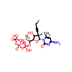 Cc1cc(N)nc(=O)n1[C@@H]1O[C@H]([C@H](C)OP(=O)(O)OP(=O)(O)OP(=O)(O)O)C(O)[C@]1(F)C#CCF